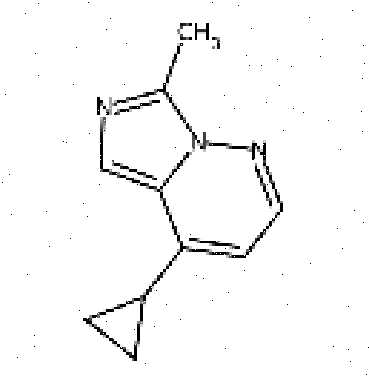 Cc1ncc2c(C3CC3)ccnn12